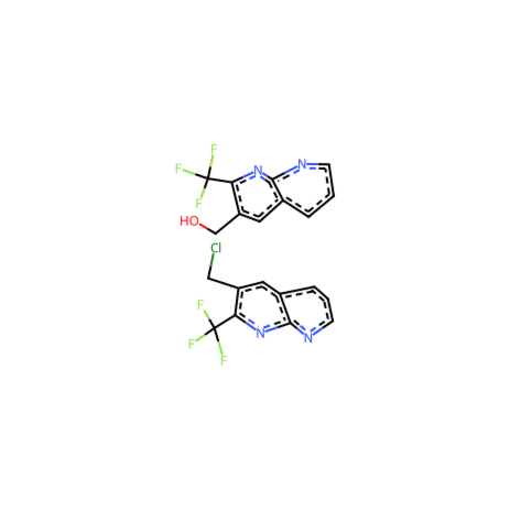 FC(F)(F)c1nc2ncccc2cc1CCl.OCc1cc2cccnc2nc1C(F)(F)F